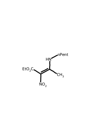 CCCCCN/C(C)=C(\C(=O)OCC)[N+](=O)[O-]